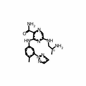 Cc1ccc(Nc2nc(NC[C@H](C)N)cnc2C(N)=O)cc1-n1nccn1